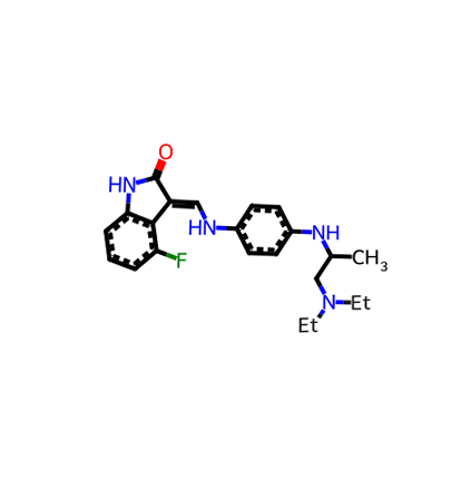 CCN(CC)CC(C)Nc1ccc(N/C=C2/C(=O)Nc3cccc(F)c32)cc1